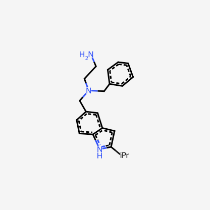 CC(C)c1cc2cc(CN(CCN)Cc3ccccc3)ccc2[nH]1